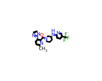 Cc1ccc(-n2nccn2)c(C(=O)N2CCC[C@@H](Nc3ccc(C(F)(F)F)cn3)C2)n1